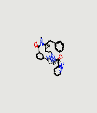 COc1cccc(C(=O)N(C)[C@H](CCNC(=O)c2ccccn2)Cc2ccccc2)c1